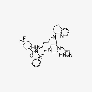 NCCCCN(CC1CN(CC[C@H](NC(=O)C2CCC(F)(F)CC2)c2ccccc2)CCN1Cc1cnc[nH]1)C1CCCc2cccnc21